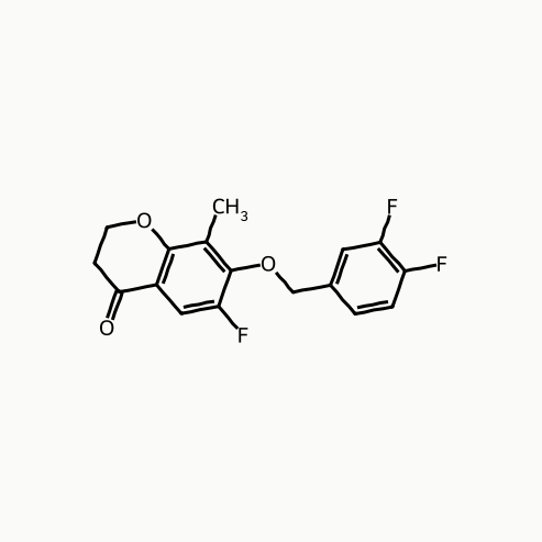 Cc1c(OCc2ccc(F)c(F)c2)c(F)cc2c1OCCC2=O